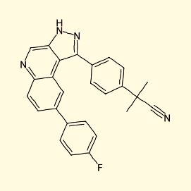 CC(C)(C#N)c1ccc(-c2n[nH]c3cnc4ccc(-c5ccc(F)cc5)cc4c23)cc1